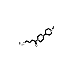 CCCCC(=O)N1CCN(C2CCN(I)CC2)CC1